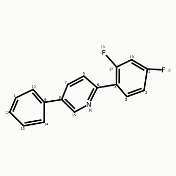 Fc1ccc(-c2ccc(-c3ccccc3)cn2)c(F)c1